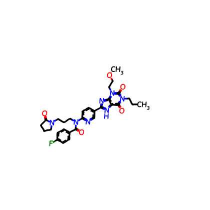 CCCn1c(=O)c2[nH]c(-c3ccc(N(CCCN4CCCC4=O)C(=O)c4ccc(F)cc4)nc3)nc2n(CCOC)c1=O